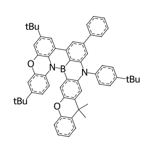 CC(C)(C)c1ccc(N2c3cc4c(cc3B3c5c(cc(-c6ccccc6)cc52)-c2cc(C(C)(C)C)cc5c2N3c2ccc(C(C)(C)C)cc2O5)Oc2ccccc2C4(C)C)cc1